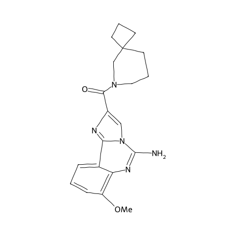 COc1cccc2c1nc(N)n1cc(C(=O)N3CCCC4(CCC4)C3)nc21